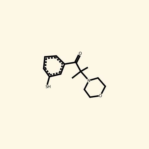 CC(C)(C(=O)c1cccc(S)c1)N1CCOCC1